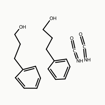 N=C=O.N=C=O.OCCCc1ccccc1.OCCCc1ccccc1